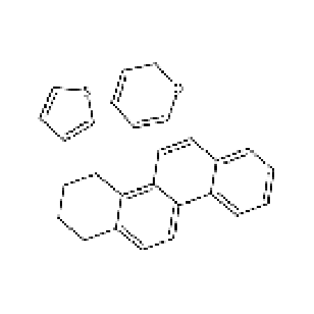 C1=CCOC=C1.c1ccc2c(c1)ccc1c3c(ccc12)CCCC3.c1ccsc1